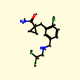 NC(=O)C1(Cc2cc(CNCC(F)F)ccc2Cl)CC1